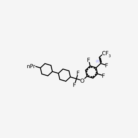 CCCC1CCC(C2CCC(C(F)(F)Oc3cc(F)c(/C(F)=C/C(F)(F)F)c(F)c3)CC2)CC1